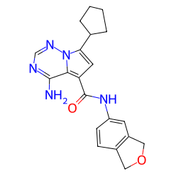 Nc1ncnn2c(C3CCCC3)cc(C(=O)Nc3ccc4c(c3)COC4)c12